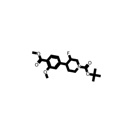 COC(=O)c1ccc(C2CCN(C(=O)OC(C)(C)C)CC2F)cc1OC